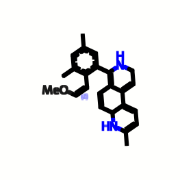 CO/C=C\c1c(C)cc(C)cc1C1=C2C=CC3NC(C)=CC=C3C2=CCN1